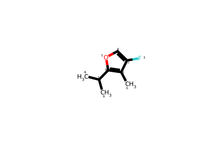 Cc1c(F)coc1C(C)C